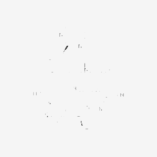 C[C@@H](c1cnn(C)c1)n1nc(C#N)c2c(=O)[nH]c([C@@H]3CC[C@H]3c3ncccn3)nc21